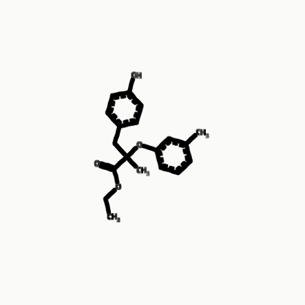 CCOC(=O)C(C)(Cc1ccc(O)cc1)Oc1cccc(C)c1